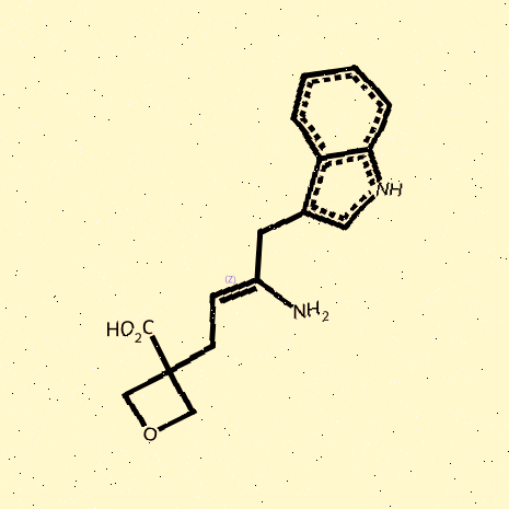 N/C(=C\CC1(C(=O)O)COC1)Cc1c[nH]c2ccccc12